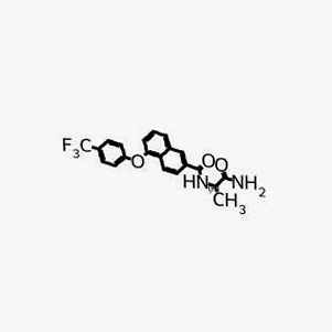 C[C@@H](NC(=O)c1ccc2c(Oc3ccc(C(F)(F)F)cc3)cccc2c1)C(N)=O